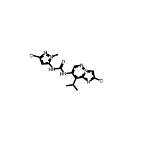 CC(C)c1c(NC(=O)Nc2cc(Cl)nn2C)cnn2cc(Cl)nc12